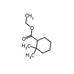 CCOC(=O)C1CCCCC1(C)C